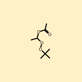 CC(=O)OC(C)OOC(C)(C)C